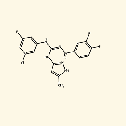 Cc1cc(N/C(=N\C(=O)c2ccc(F)c(F)c2)Nc2cc(F)cc(Cl)c2)n[nH]1